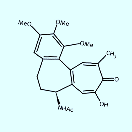 COc1cc2c(c(OC)c1OC)-c1cc(C)c(=O)c(O)cc1[C@@H](NC(C)=O)CC2